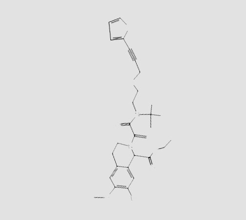 CCOC(=O)C1c2cc(Br)c(OC)cc2CCN1C(=O)C(=O)N(CCSCC#Cc1cccs1)C(C)(C)C